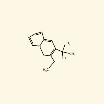 CCC1=C(C(C)(C)C)C=C2C=CC=CN2C1